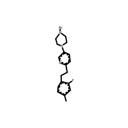 [CH2]c1ccc(CCc2ccc(N3CCN(C(C)=O)CC3)cn2)c(F)c1